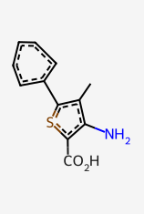 Cc1c(-c2ccccc2)sc(C(=O)O)c1N